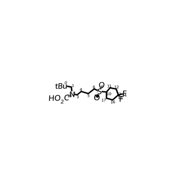 CC(C)(C)CN(CCCCS(=O)(=O)C1CCC(F)(F)CC1)C(=O)O